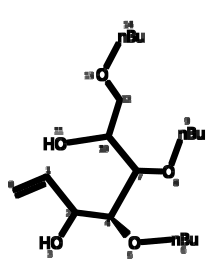 C=CC(O)[C@H](OCCCC)C(OCCCC)C(O)COCCCC